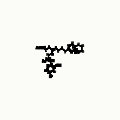 CC(=O)NCCN(CCCCc1ccc2c(n1)NCCC2)CC[C@H](Nc1ncc(Br)c[n+]1O)C(C)=O